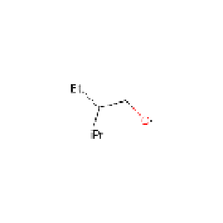 CCC(C[O])C(C)C